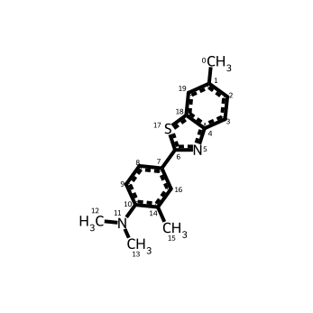 Cc1ccc2nc(-c3ccc(N(C)C)c(C)c3)sc2c1